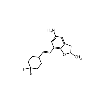 CC1Cc2cc(N)cc(C=CC3CCC(F)(F)CC3)c2O1